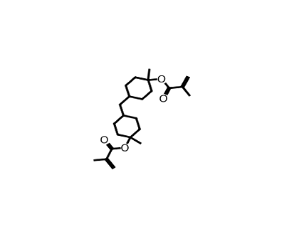 C=C(C)C(=O)OC1(C)CCC(CC2CCC(C)(OC(=O)C(=C)C)CC2)CC1